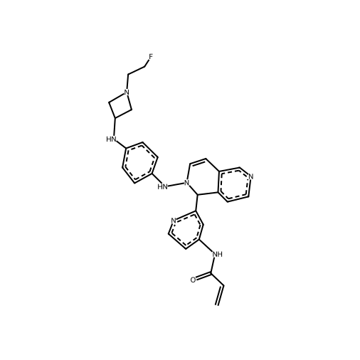 C=CC(=O)Nc1ccnc(C2c3ccncc3C=CN2Nc2ccc(NC3CN(CCF)C3)cc2)c1